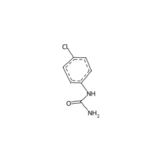 NC(=O)Nc1[c]cc(Cl)cc1